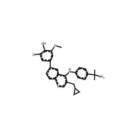 COc1cc(-c2ccc3ncc(CC4CC4)c(Nc4ccc(C(C)(C)N)cc4)c3c2)cc(Cl)c1O